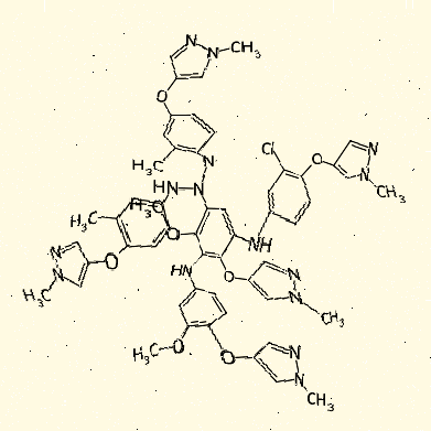 COc1cc(Nc2c(Oc3cnn(C)c3)c(Nc3ccc(Oc4cnn(C)c4)c(Cl)c3)cc(N([N]c3ccc(Oc4cnn(C)c4)cc3C)Nc3ccc(Oc4cnn(C)c4)c(C)c3)c2OC)ccc1Oc1cnn(C)c1